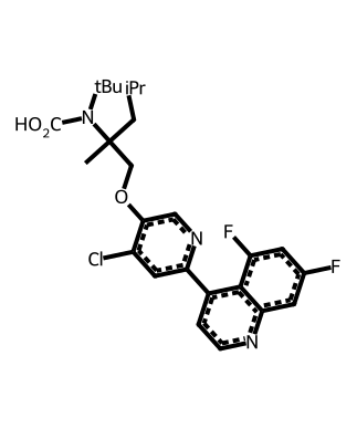 CC(C)CC(C)(COc1cnc(-c2ccnc3cc(F)cc(F)c23)cc1Cl)N(C(=O)O)C(C)(C)C